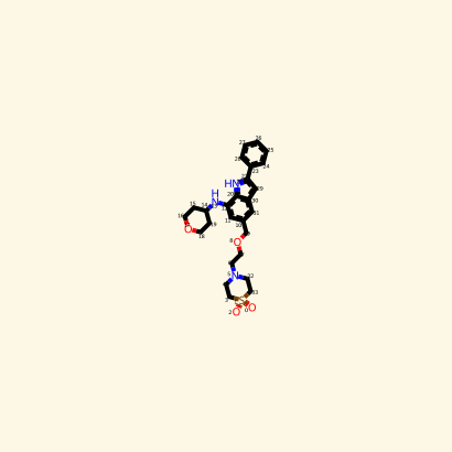 O=S1(=O)CCN(CCOCc2cc(NC3CCOCC3)c3[nH]c(-c4ccccc4)cc3c2)CC1